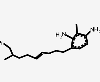 Cc1c(N)ccc(CCCC=CCCC(C)CC(C)C)c1N